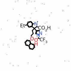 CCc1ccc2c(c1)C(CCCOc1cccc3ccccc13)(c1cnn(C(O)C(F)(F)F)c1)C(C(=O)O)N2C